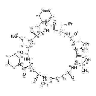 CC(C)C[C@@H]1NC(=O)[C@H](CC(C)C)N(C)C(=O)[C@H]([C@@H](C)O)NC(=O)CCCN(C)C(=O)C[C@@H](C(=O)N2CCCCC2)NC(=O)[C@H](COC(C)(C)C)NC(=O)[C@H](CC2C=CC=CC2)N(C)C1=O